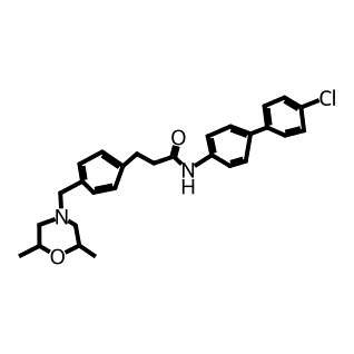 CC1CN(Cc2ccc(CCC(=O)Nc3ccc(-c4ccc(Cl)cc4)cc3)cc2)CC(C)O1